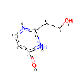 O=c1ccnc(CCO)[nH]1